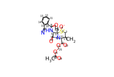 C=C1C[S+]([O-])[C@H]2C(NC(=O)c3ccccc3C#N)C(=O)N2C1C(=O)OCOC(C)=O